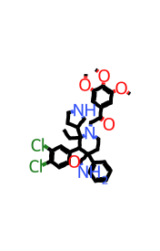 CCC1(C2CCNC2)C(c2ccc(Cl)c(Cl)c2)C(C(N)=O)(c2ccccc2)CCN1CC(=O)c1cc(OC)c(OC)c(OC)c1